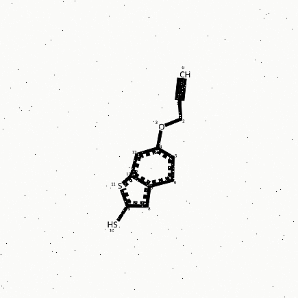 C#CCOc1ccc2cc(S)sc2c1